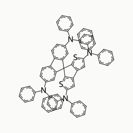 c1ccc(N(c2ccccc2)c2ccc3c(c2)C2(c4cc(N(c5ccccc5)c5ccccc5)ccc4-3)c3sc(N(c4ccccc4)c4ccccc4)cc3-c3cc(N(c4ccccc4)c4ccccc4)sc32)cc1